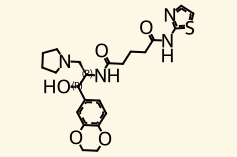 O=C(CCCC(=O)N[C@H](CN1CCCC1)[C@H](O)c1ccc2c(c1)OCCO2)Nc1nccs1